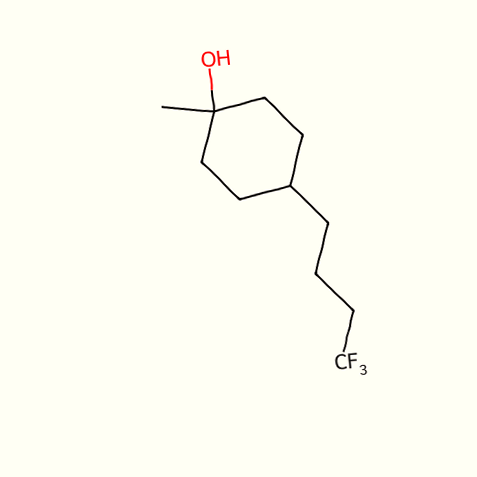 CC1(O)CCC(CCCC(F)(F)F)CC1